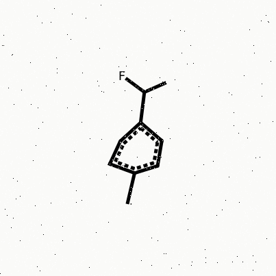 [CH2]c1ccc(C(C)F)cc1